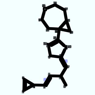 CC(/C=C/C1C=C1)/C=C1\CN=C(C23CCOCCC2C3)S1